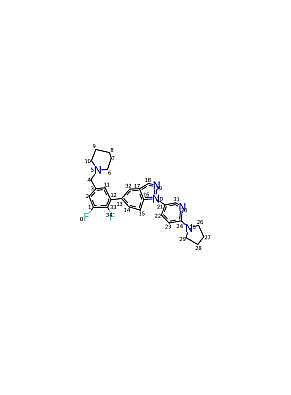 Fc1cc(CN2CCCCC2)cc(-c2ccc3c(cnn3-c3ccc(N4CCCC4)nc3)c2)c1F